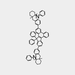 CC12CCCCC1(C)N(c1ccccc1)c1ccc(-c3ccc4c(c3)C(c3ccccc3)(c3ccccc3)c3c-4c4ccccc4c4cc(-c5ccc6c(c5)CC5(C)CCCCC5(C)N6c5ccccc5)ccc34)cc1C2